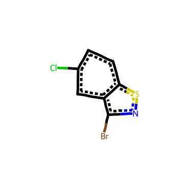 Clc1ccc2snc(Br)c2c1